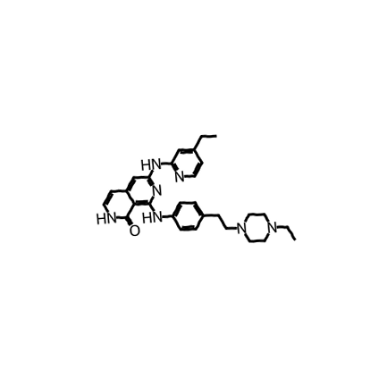 CCc1ccnc(Nc2cc3cc[nH]c(=O)c3c(Nc3ccc(CCN4CCN(CC)CC4)cc3)n2)c1